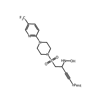 CCCCCC#CC(CS(=O)(=O)N1CCN(c2ccc(C(F)(F)F)cn2)CC1)NO